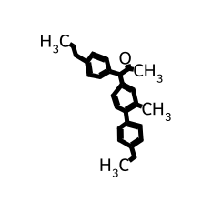 CCCc1ccc(C(C(C)=O)c2ccc(-c3ccc(CC)cc3)c(C)c2)cc1